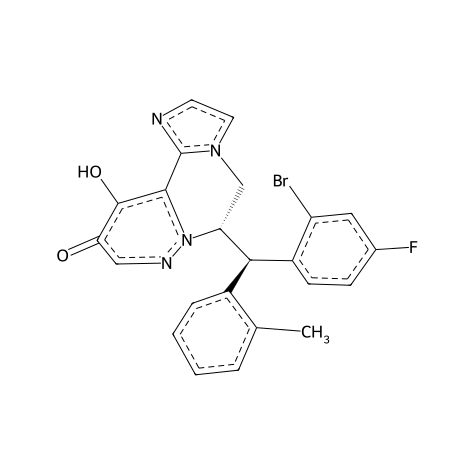 Cc1ccccc1[C@H](c1ccc(F)cc1Br)[C@H]1Cn2ccnc2-c2c(O)c(=O)cnn21